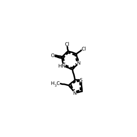 Cc1ncsc1-c1nc(Cl)c(Cl)c(=O)[nH]1